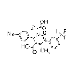 CC1=C(C(=O)O)C(c2ccc(C#N)cc2)N(C2(C(=O)O)CC2)C(=O)N1c1cccc(C(F)(F)F)c1